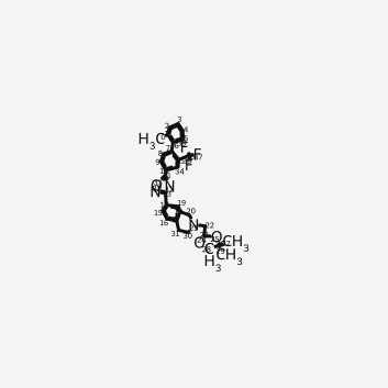 Cc1ccccc1-c1ccc(-c2nc(-c3ccc4c(c3)CN(CC(=O)OC(C)(C)C)CC4)no2)cc1C(F)(F)F